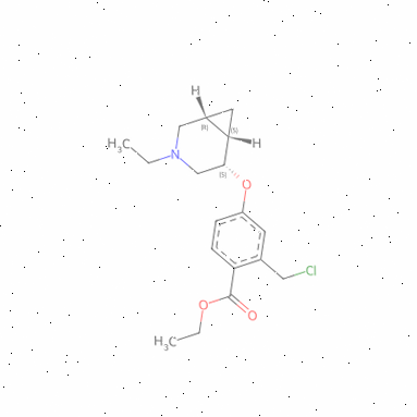 CCOC(=O)c1ccc(O[C@@H]2CN(CC)C[C@@H]3C[C@@H]32)cc1CCl